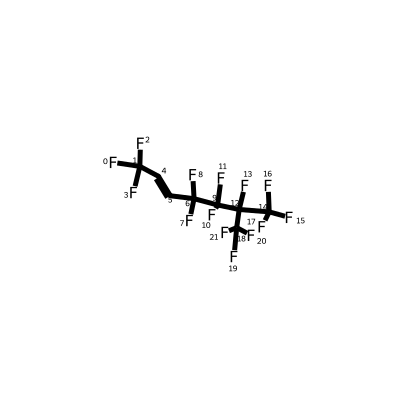 FC(F)(F)/C=C/C(F)(F)C(F)(F)C(F)(C(F)(F)F)C(F)(F)F